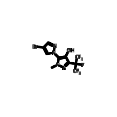 Cn1nc(C(F)(C(F)(F)F)C(F)(F)F)c(O)c1-n1cc(Br)cn1